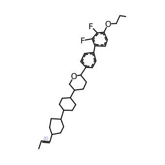 C/C=C/C1CCC(C2CCC(C3CCC(c4ccc(-c5ccc(OCCC)c(F)c5F)cc4)OC3)CC2)CC1